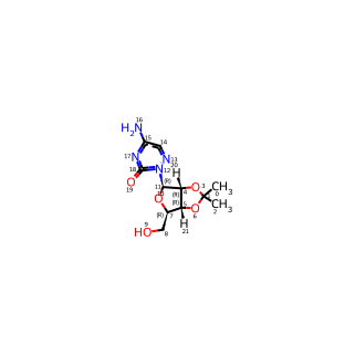 CC1(C)O[C@@H]2[C@H](O1)[C@@H](CO)O[C@H]2n1ncc(N)nc1=O